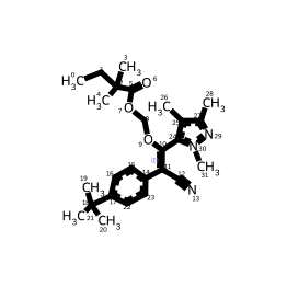 CCC(C)(C)C(=O)OCO/C(=C(/C#N)c1ccc(C(C)(C)C)cc1)c1c(C)c(C)nn1C